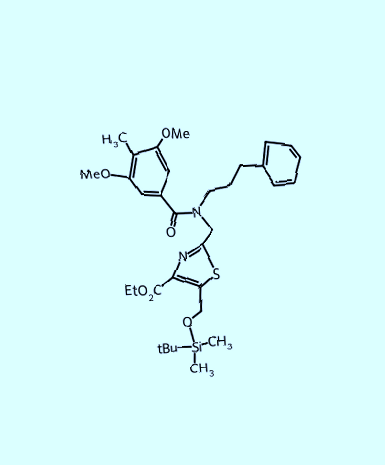 CCOC(=O)c1nc(CN(CCCc2ccccc2)C(=O)c2cc(OC)c(C)c(OC)c2)sc1CO[Si](C)(C)C(C)(C)C